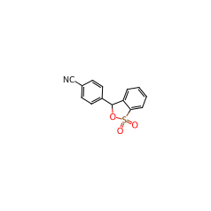 N#Cc1ccc(C2OS(=O)(=O)c3ccccc32)cc1